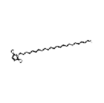 O=C1C=CC(=O)N1CCCCCCCCCCCCCCCCCCCCCCC[S]